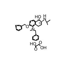 CC(C)N[C@H]1CCc2c(ccc(OCc3ccccc3)c2N(C)Cc2ccccc2)[C@@H]1O.O=C(O)C(=O)O